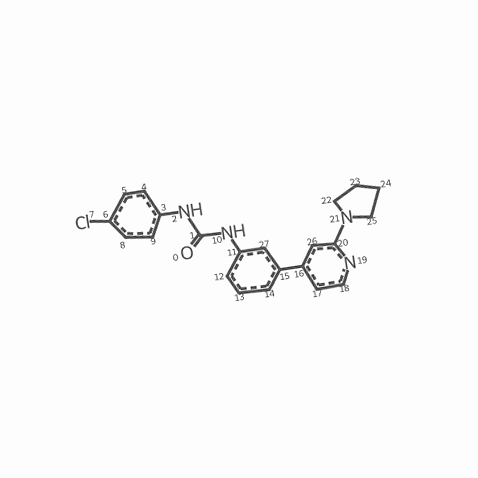 O=C(Nc1ccc(Cl)cc1)Nc1cccc(-c2ccnc(N3CCCC3)c2)c1